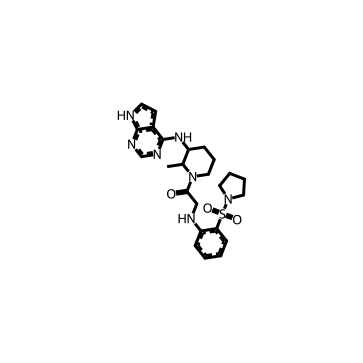 CC1C(Nc2ncnc3[nH]ccc23)CCCN1C(=O)CNc1ccccc1S(=O)(=O)N1CCCC1